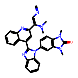 C=N/C=C(/c1cc(-c2nc3ccccc3n2-c2ccc3c(c2)n(C)c(=O)n3C)c2ccccc2n1)N(C)C